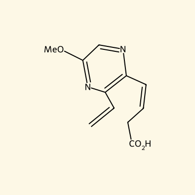 C=Cc1nc(OC)cnc1/C=C\CC(=O)O